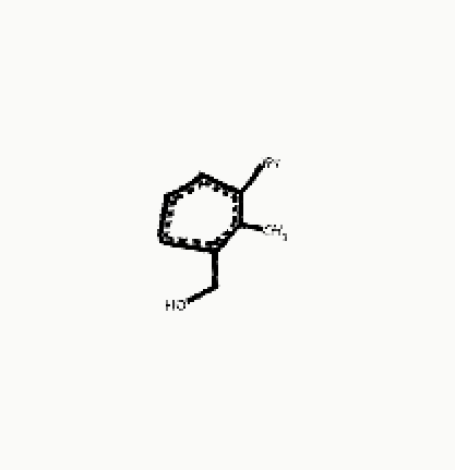 Cc1c([CH]O)cccc1C(C)C